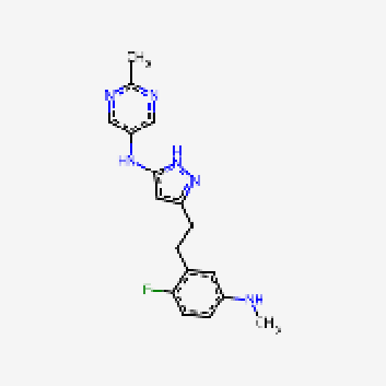 CNc1ccc(F)c(CCc2cc(Nc3cnc(C)nc3)[nH]n2)c1